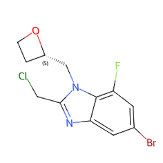 Fc1cc(Br)cc2nc(CCl)n(C[C@@H]3CCO3)c12